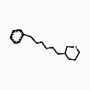 c1ccc(CCCCCCC2CCC[N]C2)cc1